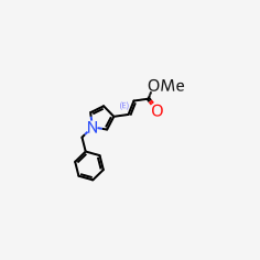 COC(=O)/C=C/c1ccn(Cc2ccccc2)c1